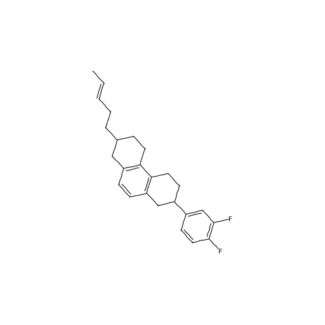 C/C=C/CCC1CCc2c(ccc3c2CCC(c2ccc(F)c(F)c2)C3)C1